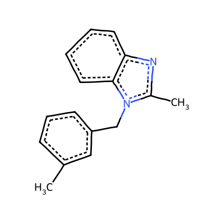 Cc1cccc(Cn2c(C)nc3ccccc32)c1